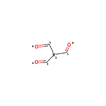 O=[CH][Ir]([CH]=O)[CH]=O